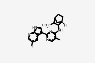 O=C(O)C1C2CC[C@@H](C2)C1Nc1nc(-c2c[nH]c3ncc(Cl)cc23)ncc1F